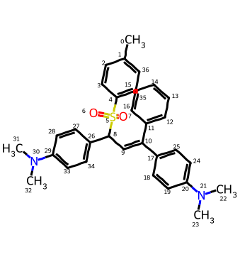 Cc1ccc(S(=O)(=O)C(C=C(c2ccccc2)c2ccc(N(C)C)cc2)c2ccc(N(C)C)cc2)cc1